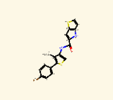 O=C(Nc1csc(-c2ccc(Br)cc2)c1C(=O)O)c1cc2sccc2[nH]1